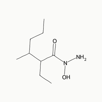 CCCC(C)C(CC)C(=O)N(N)O